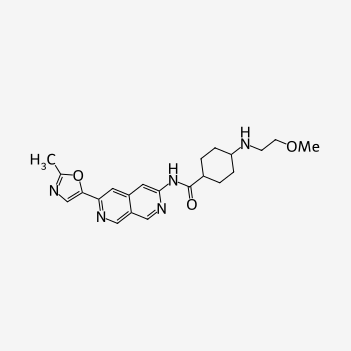 COCCNC1CCC(C(=O)Nc2cc3cc(-c4cnc(C)o4)ncc3cn2)CC1